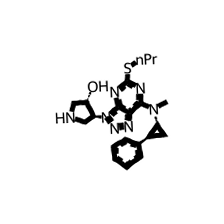 CCCSc1nc(N(C)[C@@H]2C[C@H]2c2ccccc2)c2nnn([C@H]3CNC[C@@H]3O)c2n1